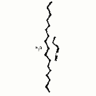 C=C=CCC.CCCCCCCCCCCCCCCCC.O